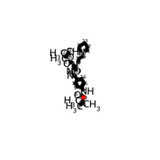 CC(C)(C)CC(=O)Nc1ccc(-c2nnc(N(CCCN3CCCCC3)C(=O)OC(C)(C)C)o2)cc1